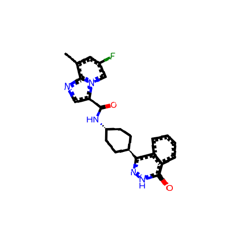 Cc1cc(F)cn2c(C(=O)N[C@H]3CC[C@H](c4n[nH]c(=O)c5ccccc54)CC3)cnc12